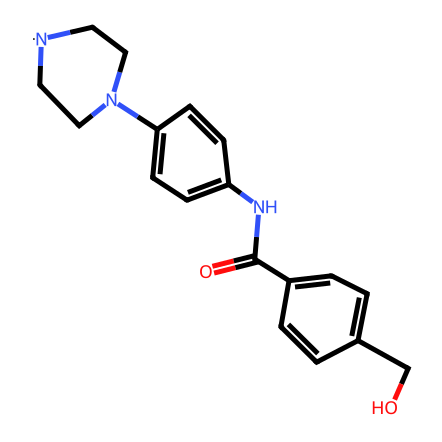 O=C(Nc1ccc(N2CC[N]CC2)cc1)c1ccc(CO)cc1